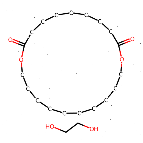 O=C1CCCCCCCC(=O)OCCCCCCCCCCO1.OCCO